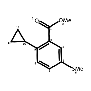 COC(=O)c1cc(SC)ccc1C1CC1